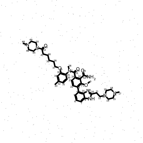 COc1c(-c2cccc3[nH]c(CCN4CCN(C)CC4)nc23)ccc(C(=O)N(C)c2ccc(C)cc2OCCCCCC(=O)N2CCN(C)CC2)c1C(N)=O